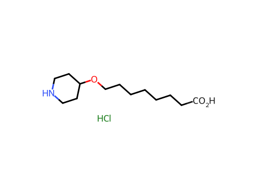 Cl.O=C(O)CCCCCCCOC1CCNCC1